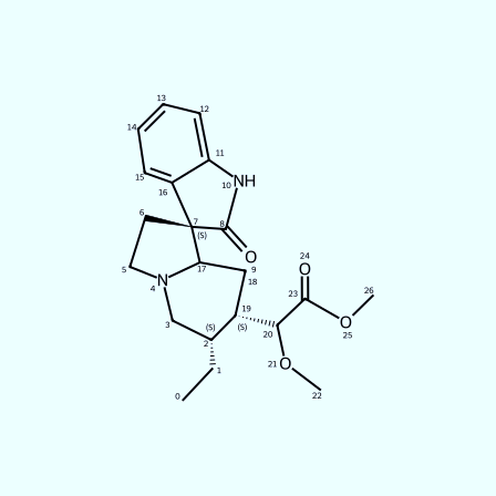 CC[C@@H]1CN2CC[C@@]3(C(=O)Nc4ccccc43)C2C[C@@H]1C(OC)C(=O)OC